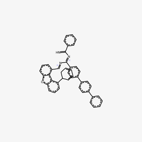 N=C(/N=C(\N=C\c1cccc2oc3cccc(C4C=CC=CC4)c3c12)c1ccc(-c2ccc(-c3ccccc3)cc2)cc1)c1ccccc1